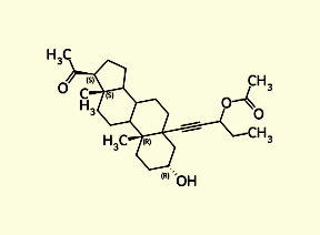 CCC(C#CC12CCC3C4CC[C@H](C(C)=O)[C@@]4(C)CCC3[C@@]1(C)CC[C@@H](O)C2)OC(C)=O